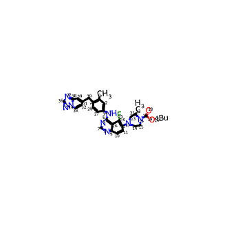 Cc1cc(Nc2ncnc3ccc(N4CCN(C(=O)OC(C)(C)C)[C@H](C)C4)c(F)c23)ccc1Cc1ccn2ncnc2c1